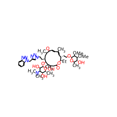 CC[C@H]1OC(=O)C[C@@H](O)[C@H](C)[C@@H](O[C@@H]2O[C@H](C)[C@@H](O)C(N(C)C)C2O)[C@@H](CCn2cc(Cn3nnc4ccccc43)nn2)C[C@@H](C)C(=O)/C=C/C(C)=C/[C@@H]1CCO[C@@H]1OC(C)[C@@H](O)[C@H](OC)C1OC